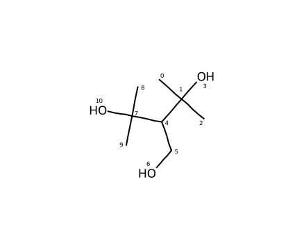 CC(C)(O)C(CO)C(C)(C)O